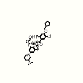 CN(C)C1CCCN(c2cc(F)c(S(=O)(=O)NC(=O)c3cc(Cl)c(OCC4CCCC4)cc3F)c(F)c2)C1.O=CO